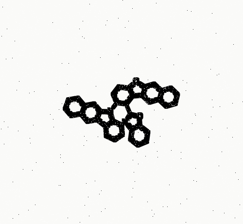 c1ccc2cc3c(cc2c1)oc1ccc(-n2c4ccccc4c4cc5ccccc5cc42)c(-c2nc4ccccc4o2)c13